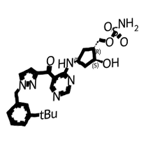 CC(C)(C)c1cccc(Cn2ccc(C(=O)c3cncnc3N[C@@H]3C[C@H](COS(N)(=O)=O)[C@@H](O)C3)n2)c1